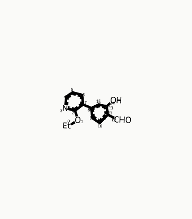 CCOc1ncccc1-c1ccc(C=O)c(O)c1